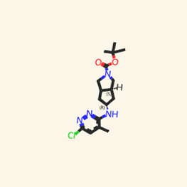 Cc1cc(Cl)nnc1N[C@@H]1CC2CN(C(=O)OC(C)(C)C)C[C@H]2C1